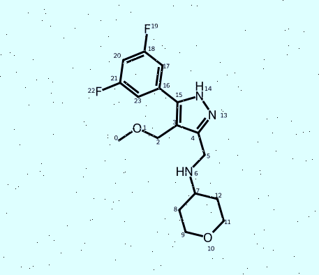 COCc1c(CNC2CCOCC2)n[nH]c1-c1cc(F)cc(F)c1